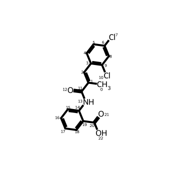 CC(=Cc1ccc(Cl)cc1Cl)C(=O)Nc1ccccc1C(=O)O